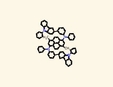 Cc1cc(N(c2ccccc2)c2cccc(-c3ccc4c(c3)c3ccccc3n4-c3ccccc3)c2)c2ccc3c(C)cc(N(c4ccccc4)c4cccc(-c5ccc6c(c5)c5ccccc5n6-c5ccccc5)c4)c4ccc1c2c34